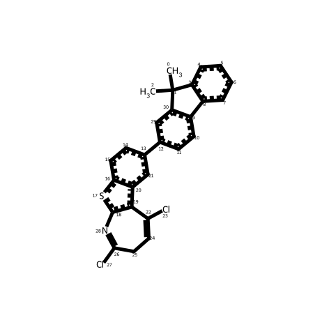 CC1(C)c2ccccc2-c2ccc(-c3ccc4sc5c(c4c3)C(Cl)=CCC(Cl)=N5)cc21